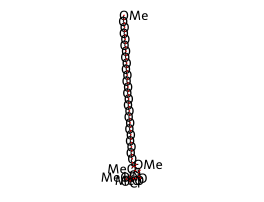 COCCOCCOCCOCCOCCOCCOCCOCCOCCOCCOCCOCCOCCOCCOCCOCCOCCOCCOCCOCCOCCOCCOCCOCCOCc1cc(OC)c(-c2ccc(C[C@H](NC(=O)c3c(Cl)cc(C(=O)OC)cc3Cl)C(=O)OC)cc2)c(OC)c1